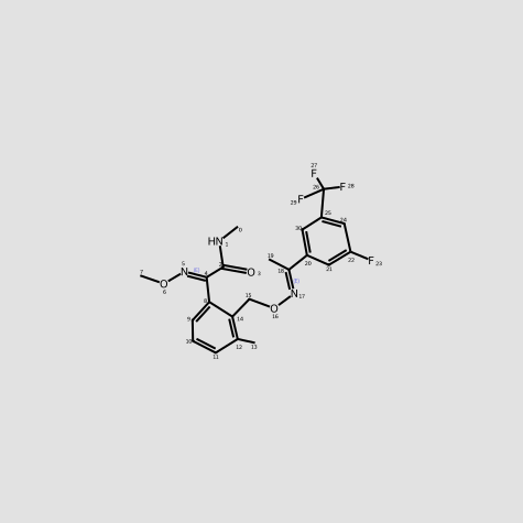 CNC(=O)/C(=N/OC)c1cccc(C)c1CO/N=C(\C)c1cc(F)cc(C(F)(F)F)c1